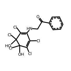 O=C(CNC1=C(Cl)C(O)(Cl)C(O)(Cl)C(Cl)=C1Cl)c1ccccc1